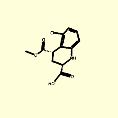 COC(=O)[C@H]1C[C@H](C(=O)O)Nc2cccc(Cl)c21